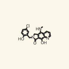 CNc1c2c(c(O)c3ncccc13)C(=O)N(Cc1cc(Cl)ccc1O)C2